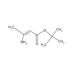 C/C(N)=C/C(=O)OC(C)(C)C